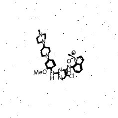 COc1cc(N2CCC(N3CCN(C)CC3)CC2)ccc1Nc1ncc(Cl)c(Nc2cccc3ccn(S(C)(=O)=O)c23)n1